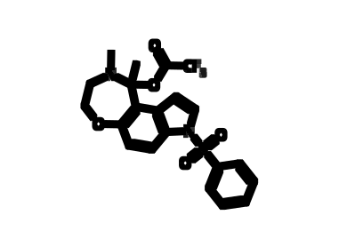 CN1CCOc2ccc3c(ccn3S(=O)(=O)c3ccccc3)c2C1(C)OC(=O)C(F)(F)F